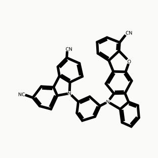 N#Cc1ccc2c(c1)c1cc(C#N)ccc1n2-c1cccc(-n2c3ccccc3c3cc4oc5c(C#N)cccc5c4cc32)c1